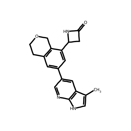 Cc1c[nH]c2ncc(-c3cc4c(c(C5CC(=O)N5)c3)COCC4)cc12